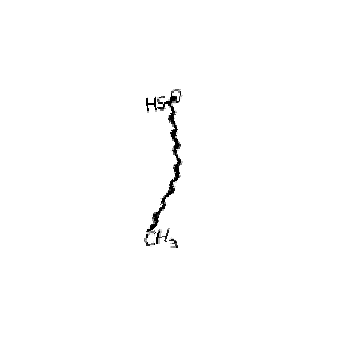 CCCCCCCCC=CCCCCCCCC(=O)S